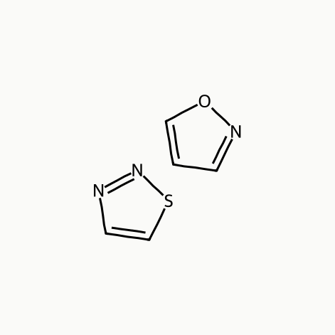 c1cnoc1.c1csnn1